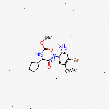 COc1cc(NC(=O)[C@H](NC(=O)OC(C)(C)C)C2CCCC2)c(N)cc1Br